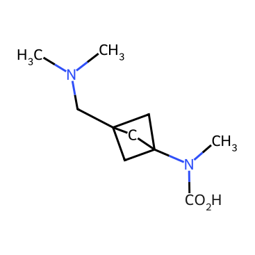 CN(C)CC12CC(N(C)C(=O)O)(C1)C2